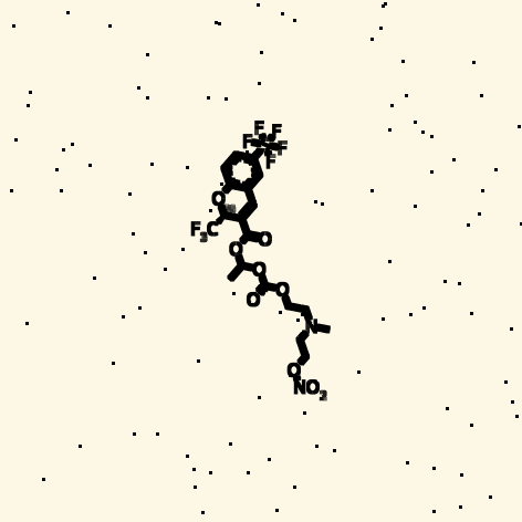 CC(OC(=O)OCCN(C)CCO[N+](=O)[O-])OC(=O)C1=Cc2cc(S(F)(F)(F)(F)F)ccc2O[C@@H]1C(F)(F)F